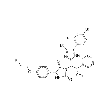 CCc1nc([C@H]([C@@H](C)c2ccccc2)N2C(=O)N[C@H](c3ccc(OCCO)cc3)C2=O)[nH]c1-c1ccc(Br)cc1F